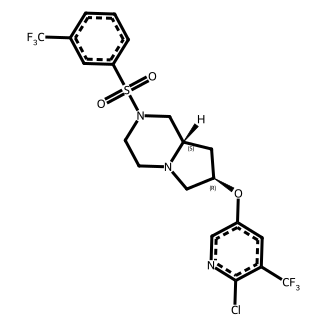 O=S(=O)(c1cccc(C(F)(F)F)c1)N1CCN2C[C@H](Oc3cnc(Cl)c(C(F)(F)F)c3)C[C@H]2C1